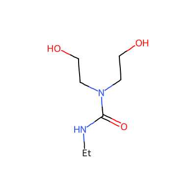 [CH2]CNC(=O)N(CCO)CCO